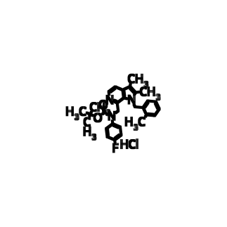 Cc1ccccc1Cn1c(C)c(C)c2ccnc(CN(C(=O)OC(C)(C)C)c3ccc(F)cc3)c21.Cl